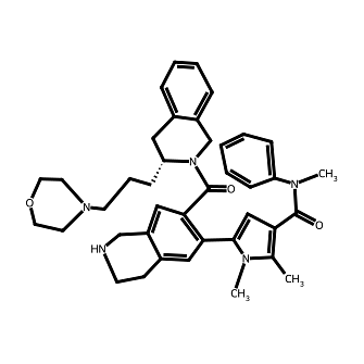 Cc1c(C(=O)N(C)c2ccccc2)cc(-c2cc3c(cc2C(=O)N2Cc4ccccc4C[C@H]2CCCN2CCOCC2)CNCC3)n1C